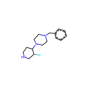 F[C@H]1CNCCC1N1CCN(Cc2ccccc2)CC1